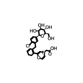 O=C(O)CN1C=COC(C2=C(Cc3cc([C@@H]4O[C@H](CO)[C@@H](O)[C@H](O)[C@@H]4O)ccc3Cl)C=CCC2)=C1